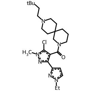 CCn1ccc(-c2nn(C)c(Cl)c2C(=O)N2CCCC3(CCN(CCC(C)(C)C)CC3)C2)n1